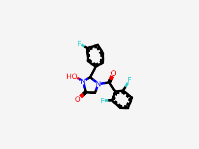 O=C1CN(C(=O)c2c(F)cccc2F)C(c2cccc(F)c2)N1O